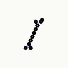 c1ccc(-n2c3ccccc3c3cc(-c4ccc(-c5ccc(-c6ccc(-c7ccc(-c8ccc9c(c8)c8ccccc8n9-c8ccc9ccccc9c8)cc7)cc6)cc5)cc4)ccc32)cc1